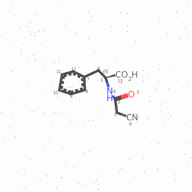 N#CCC(=O)N[C@@H](Cc1ccccc1)C(=O)O